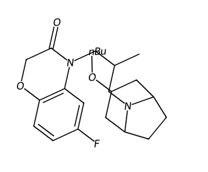 CCCCOC1CC2CCC(C1)N2CC(C)CN1C(=O)COc2ccc(F)cc21